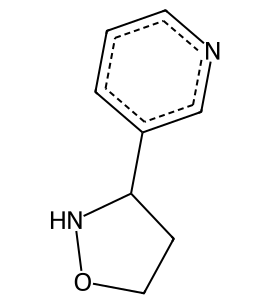 c1cncc(C2CCON2)c1